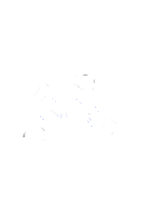 Cc1ccc(NC(=N)N(CCN(C(=N)Nc2ccc(C)cc2)c2ccc(C)cc2)c2ccc(C)cc2)cc1